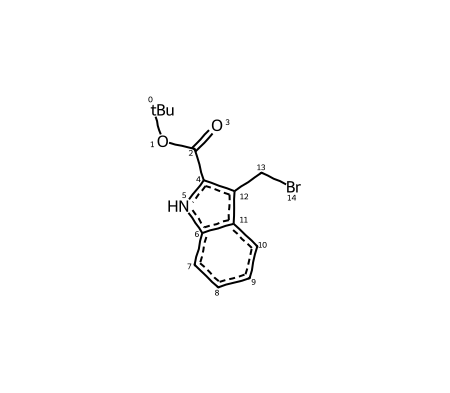 CC(C)(C)OC(=O)c1[nH]c2ccccc2c1CBr